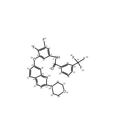 O=C(Nc1cc(F)c(F)c(Oc2ccc3ncc(N4CCOCC4)nc3c2)c1)c1cccc(C(F)(F)F)c1